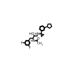 CC(=O)NC(Cc1cc(F)cc(F)c1)C(O)CNC1(c2cccc(C3CCCC3)c2)CC1